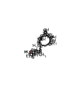 CC[C@@H]1C[C@@H](C)C2(NC1=O)O[C@@H](C[C@H](O)[C@@H](C)CC/C=C/C=C(\C)[C@@H]1C/C=C/C=C/[C@@H](O)[C@H](C)[C@@H](O)[C@@H](CCC(C)=O)C(=O)N[C@@H](C(C)C)C(=O)N[C@@H](Cc3cccc(O)c3)C(=O)N3CCCC(N3)C(=O)O1)[C@H](C)[C@H](O)[C@@H]2C